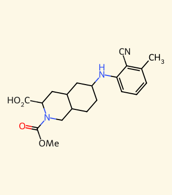 COC(=O)N1CC2CCC(Nc3cccc(C)c3C#N)CC2CC1C(=O)O